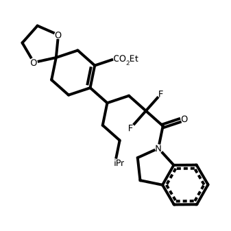 CCOC(=O)C1=C(C(CCC(C)C)CC(F)(F)C(=O)N2CCc3ccccc32)CCC2(C1)OCCO2